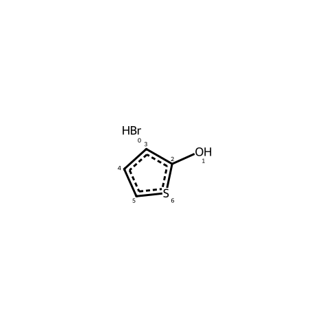 Br.Oc1cccs1